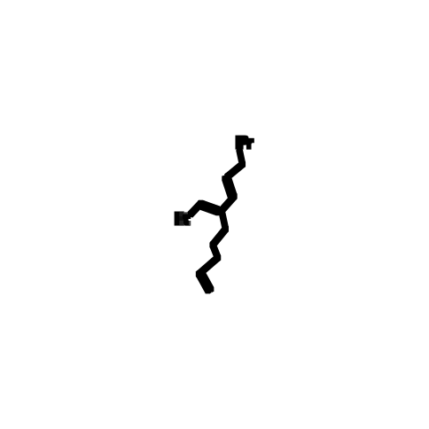 C=CCCCC(C=CCC(C)C)=CCC